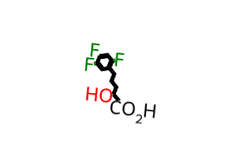 O=C(O)CC(O)CCCc1cc(F)c(F)cc1F